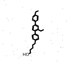 CCc1ccc(-c2ccc(-c3ccc(CCCCCO)cc3)c(CC)c2)cc1